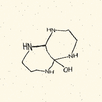 OC12NCCNC1NCCN2